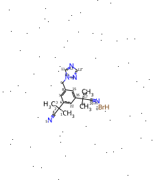 Br.CC(C)(C#N)c1cc(Cn2cncn2)cc(C(C)(C)C#N)c1